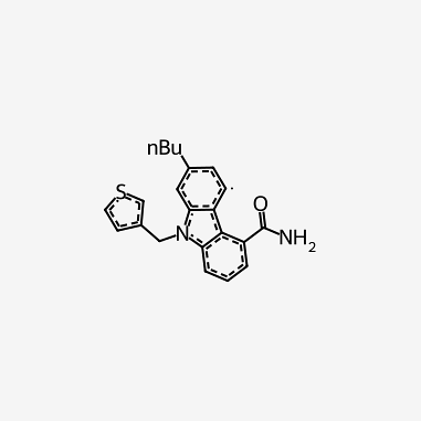 CCCCc1c[c]c2c3c(C(N)=O)cccc3n(Cc3ccsc3)c2c1